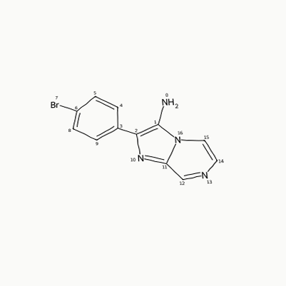 Nc1c(-c2ccc(Br)cc2)nc2cnccn12